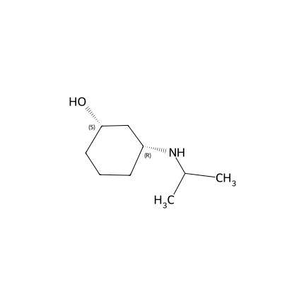 CC(C)N[C@@H]1CCC[C@H](O)C1